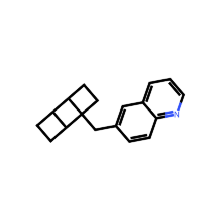 c1cnc2ccc(CC34CCC3C3CCC34)cc2c1